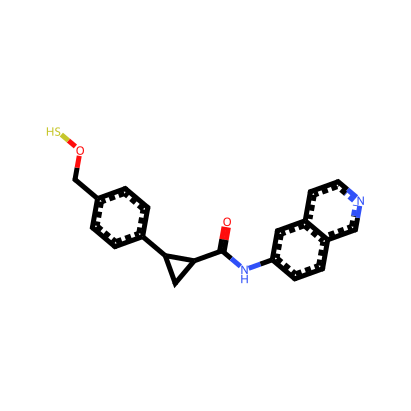 O=C(Nc1ccc2cnccc2c1)C1CC1c1ccc(COS)cc1